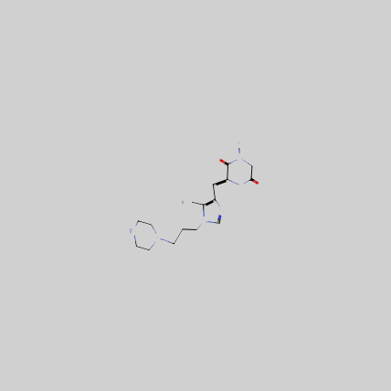 CC(=O)N1CC(=O)N/C(=C\c2ncn(CCCN3CCNCC3)c2C(C)C)C1=O